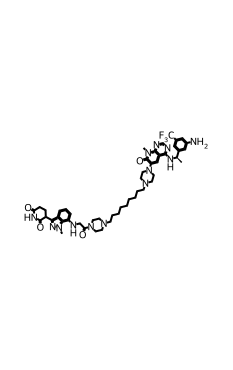 C[C@@H](Nc1ncnc2c1cc(N1CCN(CCCCCCCCCN3CCN(C(=O)CNc4cccc5c(C6CCC(=O)NC6=O)nn(C)c45)CC3)CC1)c(=O)n2C)c1cc(N)cc(C(F)(F)F)c1